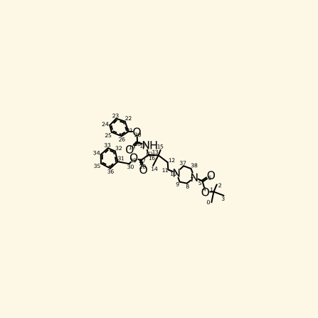 CC(C)(C)OC(=O)N1CCN(CCC(C)(C)[C@H](NC(=O)Oc2ccccc2)C(=O)OCc2ccccc2)CC1